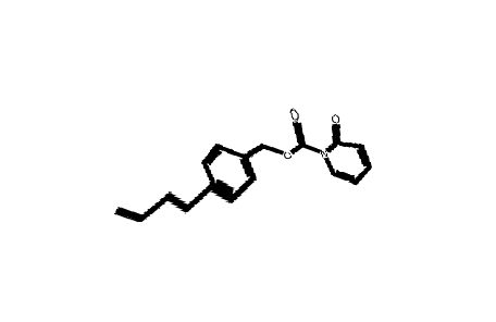 CCCCc1ccc(COC(=O)n2ccccc2=O)cc1